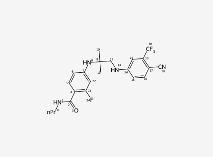 CCCNC(=O)c1ccc(NC(C)(C)CNc2ccc(C#N)c(C(F)(F)F)c2)cc1F